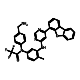 Cc1ccc(N(C(=O)C(F)(F)F)c2ccc(CN)cc2)cc1Nc1cc(-c2cccc3c2oc2ccccc23)ncn1